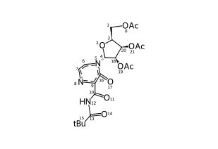 CC(=O)OC[C@@H]1O[C@@H](n2ccnc(C(=O)NC(=O)C(C)(C)C)c2=O)[C@H](OC(C)=O)[C@@H]1OC(C)=O